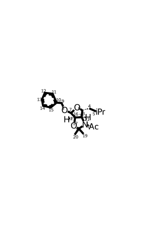 CC(=O)N1[C@@H]2[C@@H](CC(C)C)OC(OCc3ccccc3)[C@@H]2OC1(C)C